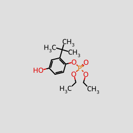 CCOP(=O)(OCC)Oc1ccc(O)cc1C(C)(C)C